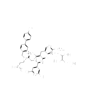 CCN(CC)CCN(Cc1ccc(-c2ccc(C(F)(F)F)cc2)cc1)C(=O)Cn1c(-c2cc(Cl)nc(Cl)c2)nc(=O)c(Cc2cnc(OC)nc2)c1SC.O=C(O)C(O)C(O)C(=O)O